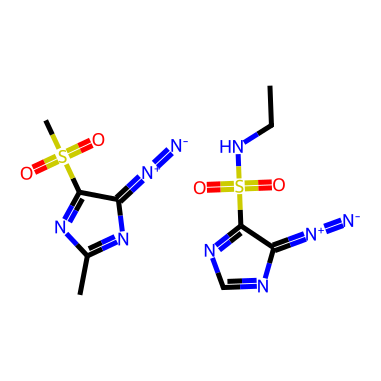 CC1=NC(=[N+]=[N-])C(S(C)(=O)=O)=N1.CCNS(=O)(=O)C1=NC=NC1=[N+]=[N-]